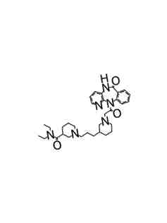 CCN(CC)C(=O)C1CCCN(CCCC2CCCN(CC(=O)N3c4ccccc4C(=O)Nc4cccnc43)C2)C1